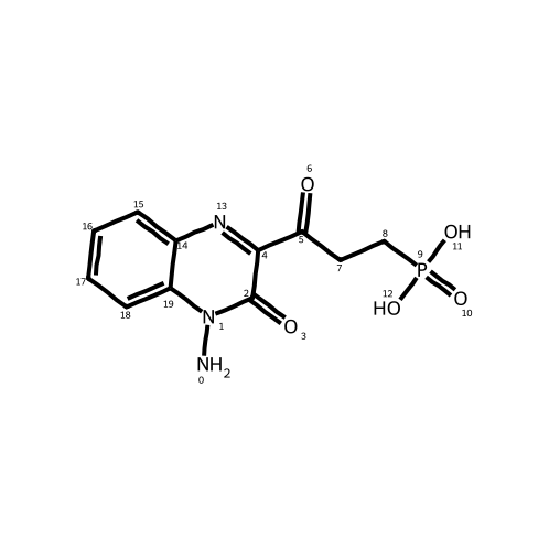 Nn1c(=O)c(C(=O)CCP(=O)(O)O)nc2ccccc21